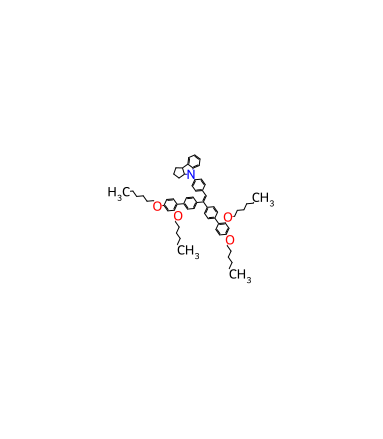 CCCCCCOc1ccc(-c2ccc(C(=Cc3ccc(N4c5ccccc5C5CCCC54)cc3)c3ccc(-c4ccc(OCCCCCC)cc4OCCCCCC)cc3)cc2)c(OCCCCCC)c1